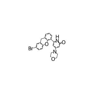 O=c1cc(N2CCOCC2)cc(-c2cccc3c2Oc2ccc(Br)cc2C3)[nH]1